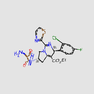 CCOC(=O)C1=C2C[C@H](NS(N)(=O)=O)CN2C(c2nccs2)=N[C@H]1c1ccc(F)cc1Cl